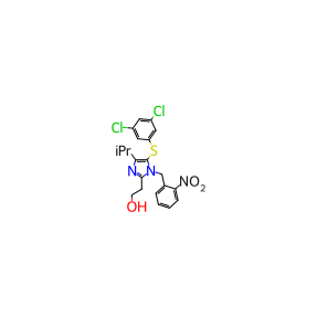 CC(C)c1nc(CCO)n(Cc2ccccc2[N+](=O)[O-])c1Sc1cc(Cl)cc(Cl)c1